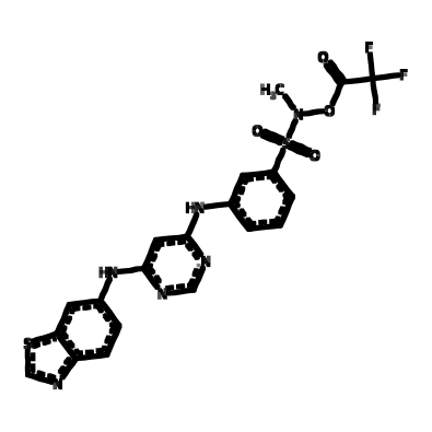 CN(OC(=O)C(F)(F)F)S(=O)(=O)c1cccc(Nc2cc(Nc3ccc4ncsc4c3)ncn2)c1